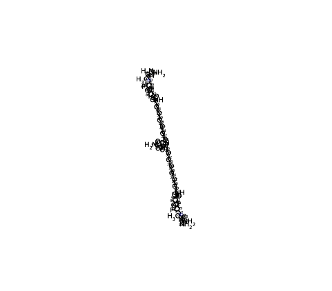 C/C(=C\c1cc(F)c(Oc2ccc(S(=O)(=O)NCCOCCOCCOCCOCCOCCOCCN(CCOCCOCCOCCOCCOCCOCCNS(=O)(=O)c3ccc(Oc4c(F)cc(/C=C(\C)C(=O)N=C(N)N)cc4F)cc3)C(=O)C(O)C(O)C(N)=O)cc2)c(F)c1)C(=O)N=C(N)N